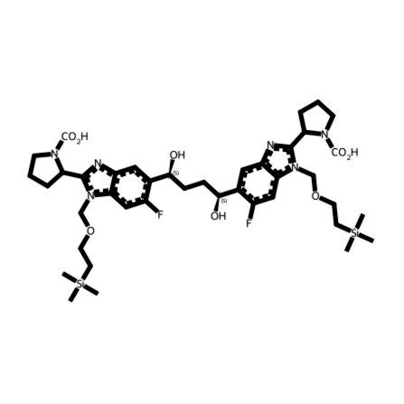 C[Si](C)(C)CCOCn1c(C2CCCN2C(=O)O)nc2cc([C@@H](O)CC[C@H](O)c3cc4nc(C5CCCN5C(=O)O)n(COCC[Si](C)(C)C)c4cc3F)c(F)cc21